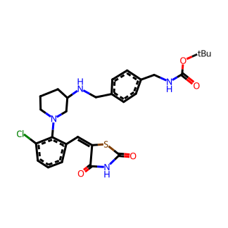 CC(C)(C)OC(=O)NCc1ccc(CNC2CCCN(c3c(Cl)cccc3C=C3SC(=O)NC3=O)C2)cc1